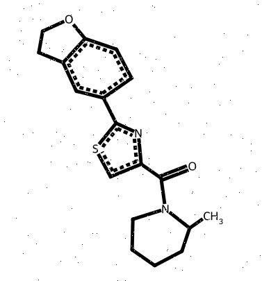 CC1CCCCN1C(=O)c1csc(-c2ccc3c(c2)CCO3)n1